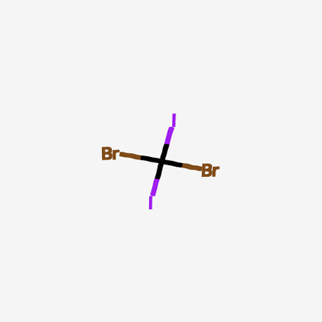 BrC(Br)(I)I